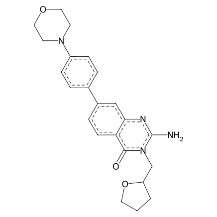 Nc1nc2cc(-c3ccc(N4CCOCC4)cc3)ccc2c(=O)n1CC1CCCO1